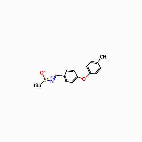 Cc1ccc(Oc2ccc(/C=N/[S+]([O-])C(C)(C)C)cc2)cc1